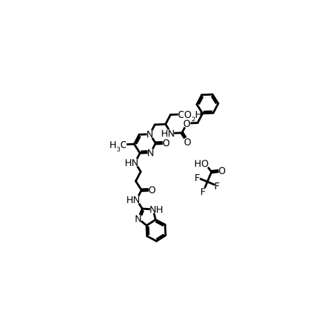 Cc1cn(CC(CC(=O)O)NC(=O)OCc2ccccc2)c(=O)nc1NCCC(=O)Nc1nc2ccccc2[nH]1.O=C(O)C(F)(F)F